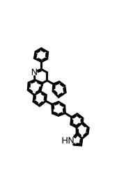 c1ccc(C2=Nc3ccc4ccc(-c5ccc(-c6ccc7ccc8cc[nH]c8c7c6)cc5)cc4c3C(c3ccccc3)C2)cc1